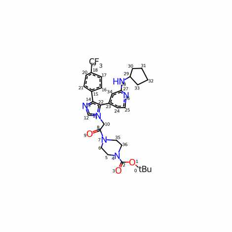 CC(C)(C)OC(=O)N1CCN(C(=O)Cn2cnc(-c3ccc(C(F)(F)F)cc3)c2-c2ccnc(NC3CCCC3)c2)CC1